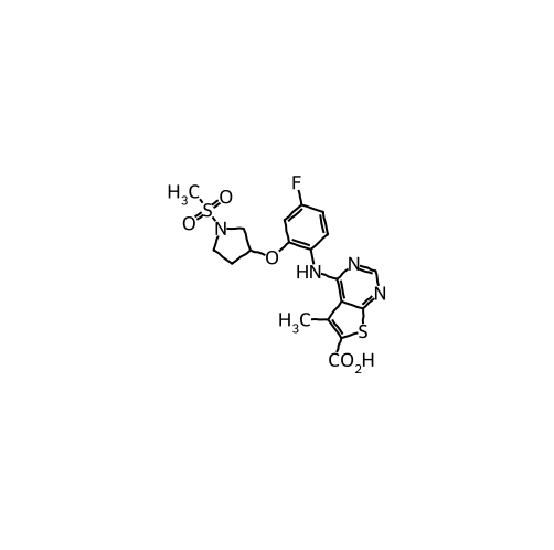 Cc1c(C(=O)O)sc2ncnc(Nc3ccc(F)cc3OC3CCN(S(C)(=O)=O)C3)c12